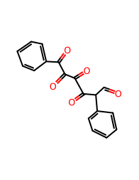 O=CC(C(=O)C(=O)C(=O)C(=O)c1ccccc1)c1ccccc1